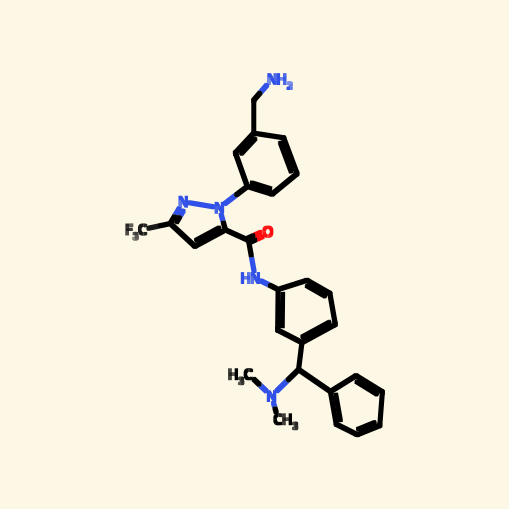 CN(C)C(c1ccccc1)c1cccc(NC(=O)c2cc(C(F)(F)F)nn2-c2cccc(CN)c2)c1